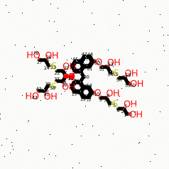 OCC(O)CSCC(O)COc1ccc2ccc(OCC(O)CSCC(O)CO)c(Cc3c(OCC(O)CSCC(O)CO)ccc4ccc(OCC(O)CSCC(O)CO)cc34)c2c1